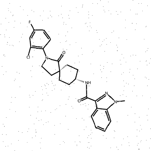 Cn1nc(C(=O)N[C@H]2CC[C@@]3(CCN(c4ccc(F)cc4Cl)C3=O)CC2)c2ccccc21